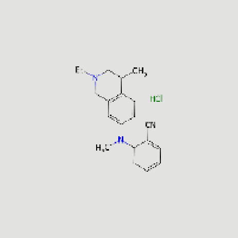 CCN1Cc2cc(N(C)c3ccccc3C#N)ccc2C(C)C1.Cl